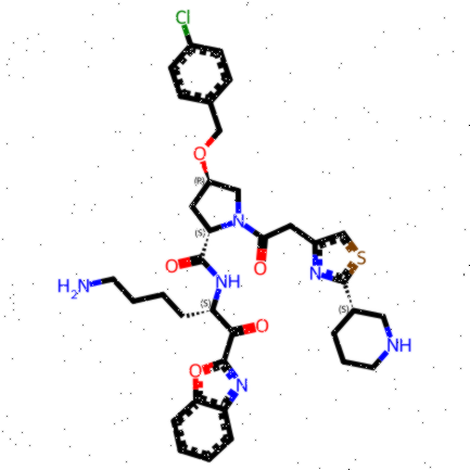 NCCCC[C@H](NC(=O)[C@@H]1C[C@@H](OCc2ccc(Cl)cc2)CN1C(=O)Cc1csc([C@H]2CCCNC2)n1)C(=O)c1nc2ccccc2o1